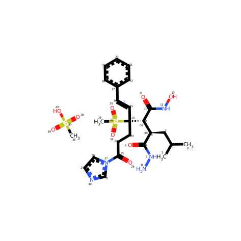 CC(C)C[C@@H](C(=O)NN)[C@@H](C(=O)NO)C(/C=C/c1ccccc1)(CCC(=O)n1ccnc1)S(C)(=O)=O.CS(=O)(=O)O